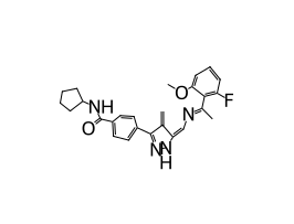 C=c1c(-c2ccc(C(=O)NC3CCCC3)cc2)n[nH]/c1=C/N=C(\C)c1c(F)cccc1OC